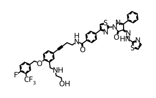 O=C(NCCC#Cc1ccc(OCc2ccc(F)c(C(F)(F)F)c2)c(CNCCO)c1)c1ccc(-c2csc(N3N=C(c4ccccc4)C(=NNc4nccs4)C3=O)n2)cc1